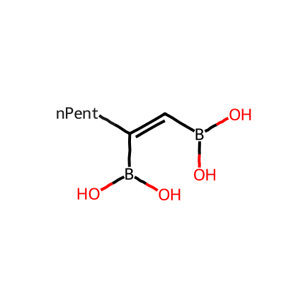 CCCCCC(=CB(O)O)B(O)O